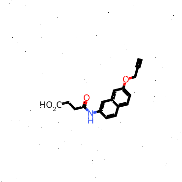 C#CCOc1ccc2ccc(NC(=O)CCC(=O)O)cc2c1